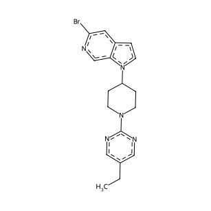 CCc1cnc(N2CCC(n3ccc4cc(Br)ncc43)CC2)nc1